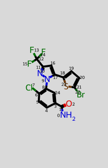 NC(=O)c1ccc(Cl)c(-n2nc(C(F)(F)F)cc2-c2ccc(Br)s2)c1